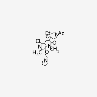 CCOC1(c2cc3c(Cl)nc(C)c(OCCN4CCCC4)c3n(C)c2=O)CCN(C(C)=O)CC1